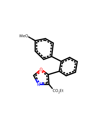 CCOC(=O)c1ncoc1-c1ccccc1-c1ccc(OC)cc1